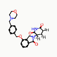 [2H]C1C(=O)NC(=O)C([2H])(N2Cc3c(OCc4ccc(CN5CCOCC5)cc4)cccc3C2=O)C1[2H]